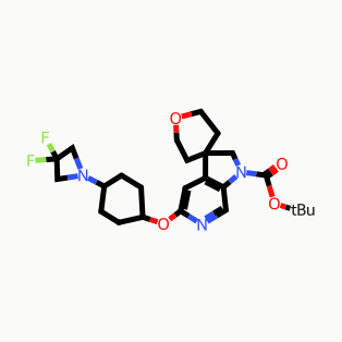 CC(C)(C)OC(=O)N1CC2(CCOCC2)c2cc(OC3CCC(N4CC(F)(F)C4)CC3)ncc21